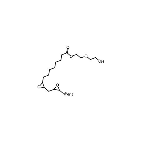 CCCCCC1OC1CC1OC1CCCCCCCC(=O)OCCOCCO